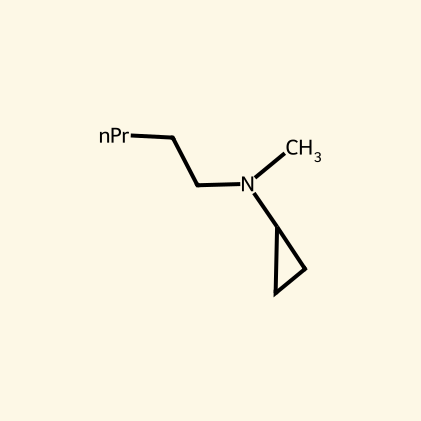 CCCCCN(C)C1CC1